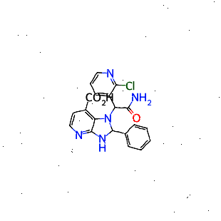 NC(=O)C(c1cccnc1Cl)N1c2c(C(=O)O)ccnc2NC1c1ccccc1